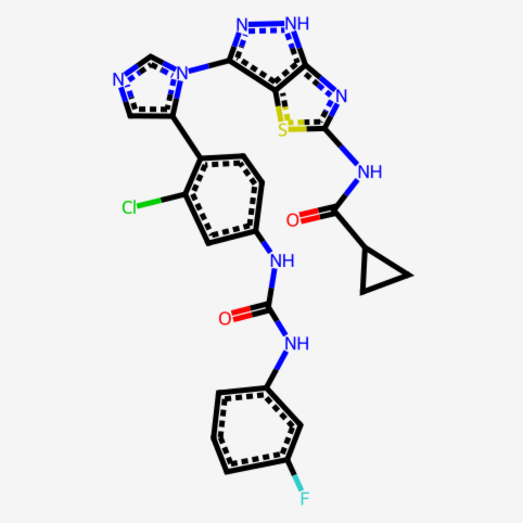 O=C(Nc1cccc(F)c1)Nc1ccc(-c2cncn2-c2n[nH]c3nc(NC(=O)C4CC4)sc23)c(Cl)c1